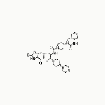 O=C(NC(Cc1cc(Cl)c2[nH]c(=O)oc2c1)C(=O)N1CCN(c2ccncc2)CC1)N1CCC(N2Cc3ccccc3NC2=O)CC1